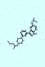 CCCC(C)CN1CCN(c2cc(-c3n[nH]c4cnc(OC(C)C)cc34)ccn2)CC1